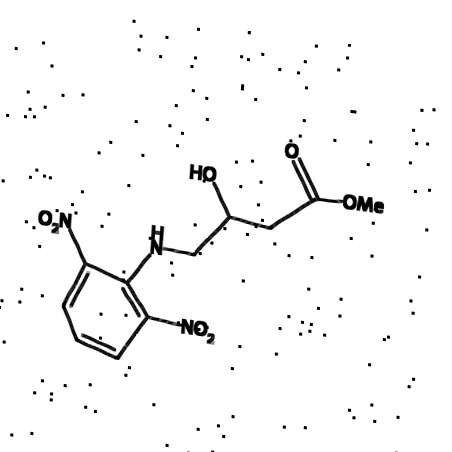 COC(=O)CC(O)CNc1c([N+](=O)[O-])cccc1[N+](=O)[O-]